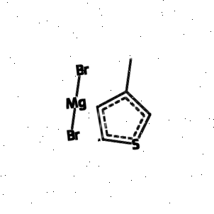 Cc1c[c]sc1.[Br][Mg][Br]